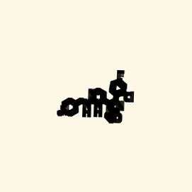 CN1CCC(CNC2N=CC=C(c3c(-c4ccc(F)cc4Cl)nc4occn34)N2)CC1